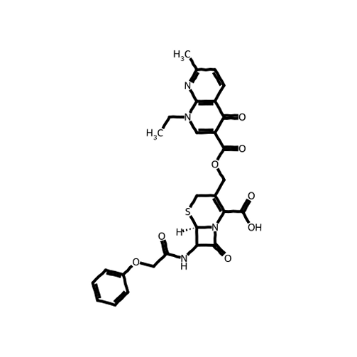 CCn1cc(C(=O)OCC2=C(C(=O)O)N3C(=O)C(NC(=O)COc4ccccc4)[C@H]3SC2)c(=O)c2ccc(C)nc21